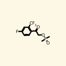 CP(C)(=O)OCC(=O)c1ccc(F)cc1C(F)(F)F